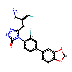 NC/C(=C/F)Cc1n[nH]c(=O)n1-c1ccc(-c2ccc3c(c2)OCO3)cc1F